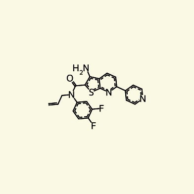 C=CCN(C(=O)c1sc2nc(-c3ccncc3)ccc2c1N)c1ccc(F)c(F)c1